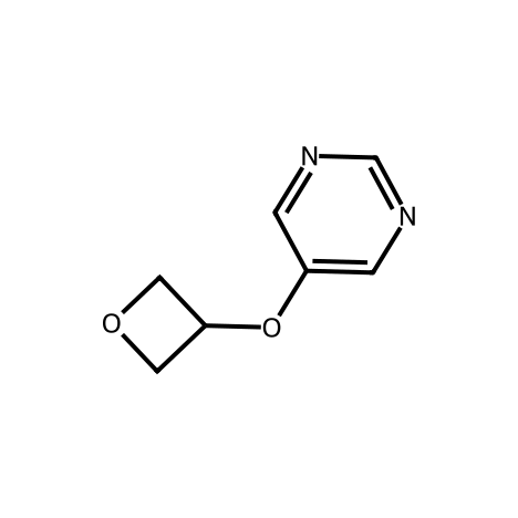 c1ncc(OC2COC2)cn1